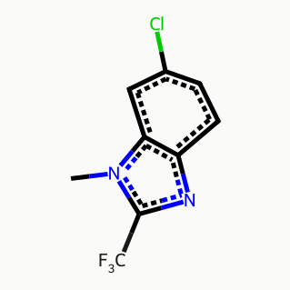 Cn1c(C(F)(F)F)nc2ccc(Cl)cc21